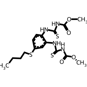 CCCCSc1ccc(NC(=S)NC(=O)OC)c(NC(=S)NC(=O)OC)c1